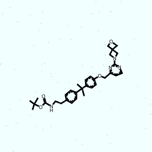 CC(C)(C)OC(=O)NCCc1ccc(C(C)(C)c2ccc(OCc3ccnc(N4CC5(COC5)C4)n3)cc2)cc1